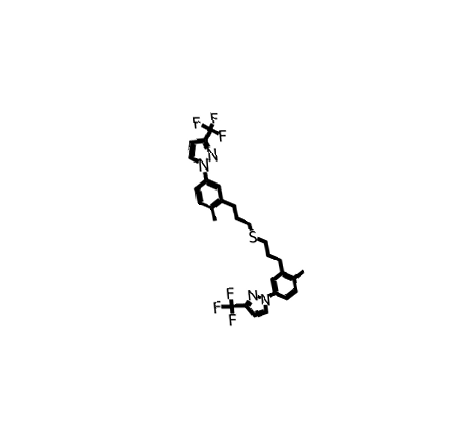 Cc1ccc(-n2ccc(C(F)(F)F)n2)cc1CCCSCCCc1cc(-n2ccc(C(F)(F)F)n2)ccc1C